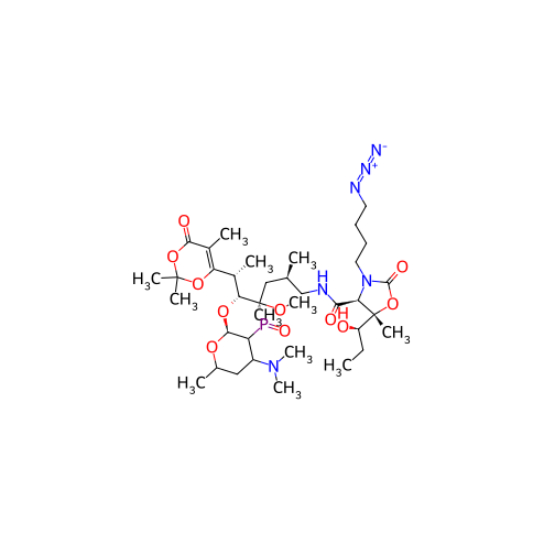 CC[C@@H](O)[C@@]1(C)OC(=O)N(CCCCN=[N+]=[N-])[C@@H]1C(=O)NC[C@H](C)C[C@@](C)(OC)[C@H](O[C@@H]1OC(C)CC(N(C)C)C1P=O)[C@@H](C)C1=C(C)C(=O)OC(C)(C)O1